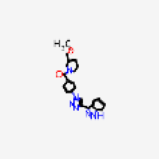 COCC1CCCN(C(=O)c2ccc(-n3cc(-c4n[nH]c5ccccc45)nn3)cc2)C1